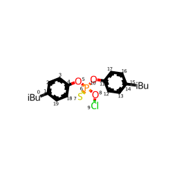 CCC(C)c1ccc(OP(=S)(OCl)Oc2ccc(C(C)CC)cc2)cc1